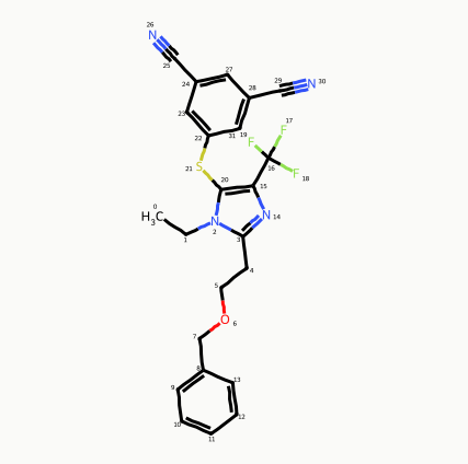 CCn1c(CCOCc2ccccc2)nc(C(F)(F)F)c1Sc1cc(C#N)cc(C#N)c1